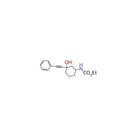 CCOC(=O)NC1CCCC(O)(C#Cc2ccccc2)C1